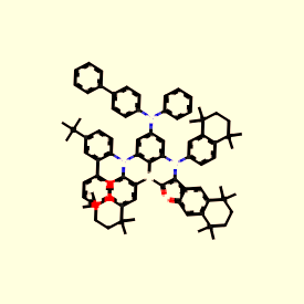 CC(C)(C)c1ccc(N2c3cc4c(cc3B3c5oc6cc7c(cc6c5N(c5ccc6c(c5)C(C)(C)CCC6(C)C)c5cc(N(c6ccccc6)c6ccc(-c8ccccc8)cc6)cc2c53)C(C)(C)CCC7(C)C)C(C)(C)CCC4(C)C)c(-c2ccccc2)c1